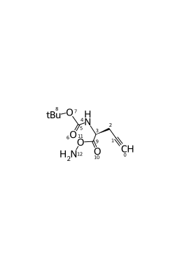 C#CC[C@H](NC(=O)OC(C)(C)C)C(=O)ON